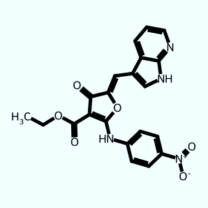 CCOC(=O)C1=C(Nc2ccc([N+](=O)[O-])cc2)O/C(=C\c2c[nH]c3ncccc23)C1=O